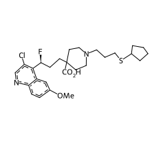 COc1ccc2ncc(Cl)c([C@@H](F)CCC3(C(=O)O)CCN(CCCSC4CCCC4)CC3)c2c1